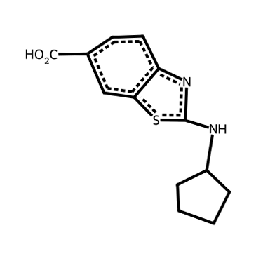 O=C(O)c1ccc2nc(NC3CCCC3)sc2c1